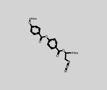 CCCCCCOc1ccc(C(=O)Oc2ccc(C(=O)OC(CCCCCC)CN=[N+]=[N-])cc2)cc1